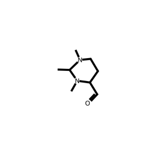 CC1N(C)CCC(C=O)N1C